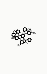 CC(C)(C)c1ccc2c(c1)N(c1cccc3oc4ccccc4c13)c1cc(N3c4ccc(C(C)(C)C)cc4C4(C)CCCCC34C)cc3c1B2c1cc(C(C)(C)C)cc2c4oc5ccccc5c4n-3c12